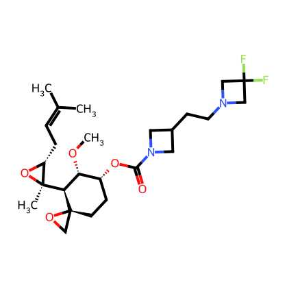 CO[C@@H]1[C@H](OC(=O)N2CC(CCN3CC(F)(F)C3)C2)CC[C@]2(CO2)[C@H]1[C@@]1(C)O[C@@H]1CC=C(C)C